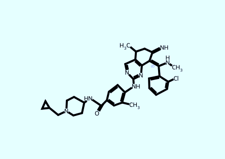 CN/C(=C1\C(=N)CC(C)c2cnc(Nc3ccc(C(=O)NC4CCN(CC5CC5)CC4)cc3C)nc21)c1ccccc1Cl